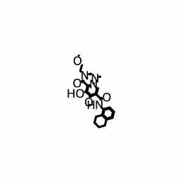 COCCN1CN(C)n2cc(C(=O)Nc3cccc4c3CCCC4)c(=O)c(O)c2C1=O